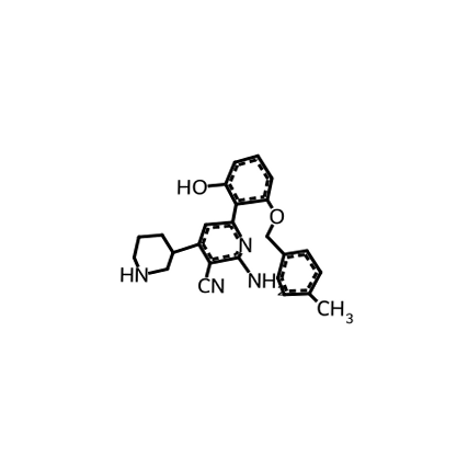 Cc1ccc(COc2cccc(O)c2-c2cc(C3CCCNC3)c(C#N)c(N)n2)cc1